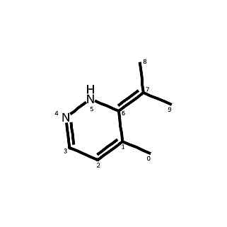 CC1=CC=NNC1=C(C)C